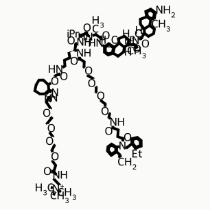 C=Cc1ccccc1N(Cc1ccccc1CC)C(=O)CCC(=O)NCCOCCOCCOCCOCCC(=O)N[C@H](CCCCNC(=O)COC1CCCCCc2c1nnn2CCOCCOCCOCCOCCC(=O)NCC[N+](C)(C)C)C(=O)N[C@H](C(=O)N[C@@H](C)C(=O)Nc1ccc2c(c1)[C@@]1(C)CCC[C@](C)(C(=O)NC(=O)[C@@]3(C)CCC[C@]4(C)c5cc(N)ccc5CC[C@@H]34)[C@@H]1CC2)C(C)C